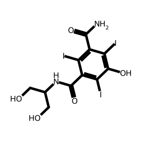 NC(=O)c1c(I)c(O)c(I)c(C(=O)NC(CO)CO)c1I